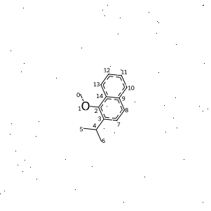 COc1c(C(C)C)ccc2ccccc12